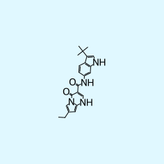 CCc1cc2[nH]cc(C(=O)Nc3ccc4c(C(C)(C)C)c[nH]c4c3)c(=O)n2c1